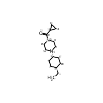 CC[C@H]1CC[C@H](N2CCN(C(=O)C3CC3)CC2)CC1